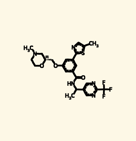 Cc1cnc(-c2cc(OC[C@H]3CN(C)CCO3)cc(C(=O)NC(C)c3cnc(C(F)(F)F)nc3)c2)s1